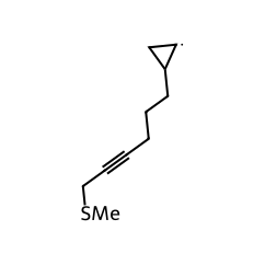 CSCC#CCCCC1[CH]C1